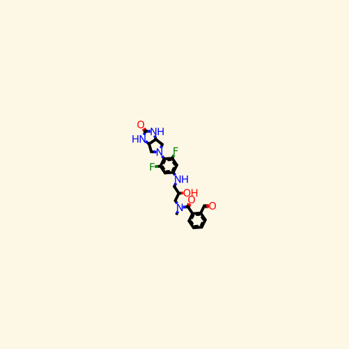 CN(CC(O)CNc1cc(F)c(N2CC3NC(=O)NC3C2)c(F)c1)C(=O)c1ccccc1C=O